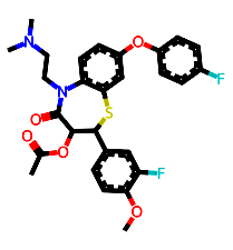 COc1ccc(C2Sc3cc(Oc4ccc(F)cc4)ccc3N(CCN(C)C)C(=O)C2OC(C)=O)cc1F